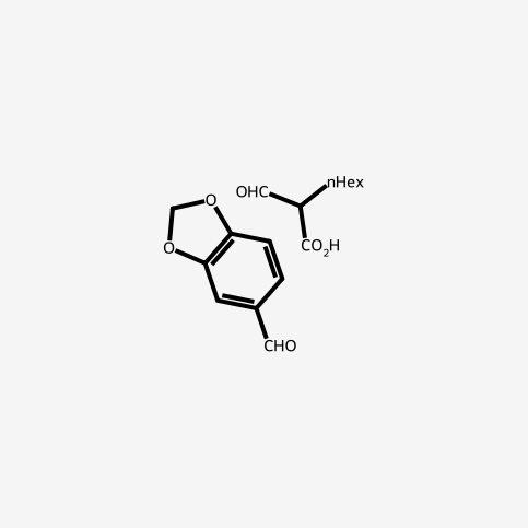 CCCCCCC(C=O)C(=O)O.O=Cc1ccc2c(c1)OCO2